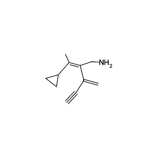 C#CC(=C)/C(CN)=C(/C)C1CC1